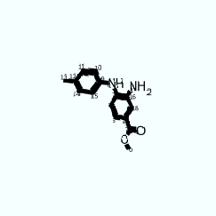 COC(=O)c1ccc(Nc2ccc(C)cc2)c(N)c1